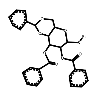 CCSC1OC2COC(c3ccccc3)OC2C(OC(=O)c2ccccc2)C1OC(=O)c1ccccc1